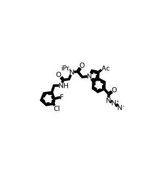 CC(=O)c1cn(CC(=O)N(CC(=O)NCc2cccc(Cl)c2F)C(C)C)c2ccc(C(=O)N=[N+]=[N-])cc12